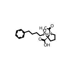 CC(=O)N1CCC[C@]1(C(=O)O)[PH](=O)CCCCc1ccccc1